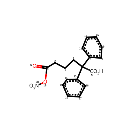 O=C(CCCC(C(=O)O)(c1ccccc1)c1ccccc1)O[N+](=O)[O-]